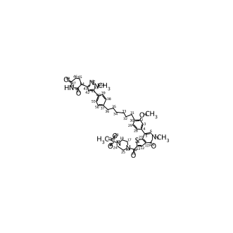 COc1cc(-c2cn(C)c(=O)c3cc(C(=O)N4CCN(S(C)(=O)=O)CC4)sc23)ccc1CCCCCCc1ccc(-c2cc(C3CCC(=O)NC3=O)nn2C)cc1